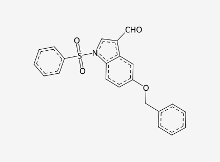 O=Cc1cn(S(=O)(=O)c2ccccc2)c2ccc(OCc3ccccc3)cc12